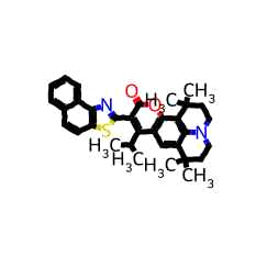 CC(C)c1c(-c2nc3c(ccc4ccccc43)s2)c(=O)oc2c3c4c(cc12)C(C)(C)CCN4CCC3(C)C